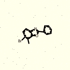 Cc1c(Br)ccc2nc(-c3ccccc3)oc12